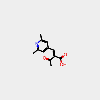 CC(=O)/C(=C\c1cc(C)nc(C)c1)C(=O)O